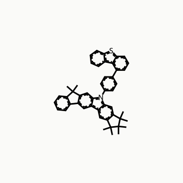 CC1(C)c2ccccc2-c2cc3c4cc5c(cc4n(-c4ccc(-c6cccc7sc8ccccc8c67)cc4)c3cc21)C(C)(C)C(C)(C)C5(C)C